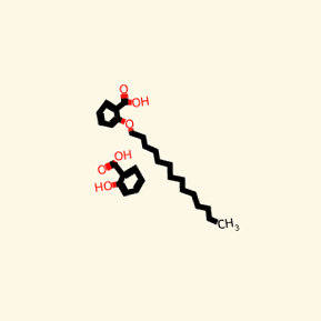 CCCCCCCCCCCCCCOc1ccccc1C(=O)O.O=C(O)c1ccccc1O